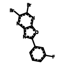 Fc1cccc(-c2nc3nc(Br)c(Br)nc3o2)c1